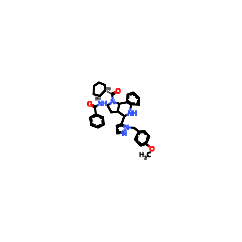 COc1ccc(Cn2nccc2C2Nc3ccccc3C3C2CCN3C(=O)[C@H]2CCCC[C@H]2NC(=O)c2ccccc2)cc1